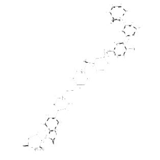 O=C1CCC(n2c(=O)oc3cc(C4CCN(CCC5CCN(C(=O)C6CCCC(Nc7ncc(F)c(-c8cccc(-n9ccccc9=O)c8)n7)C6)CC5)CC4)ccc32)C(=O)N1